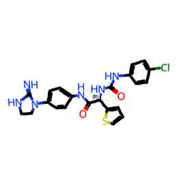 N=C1NCCN1c1ccc(NC(=O)[C@@H](NC(=O)Nc2ccc(Cl)cc2)c2cccs2)cc1